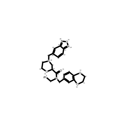 CC(C)CN(Cc1ccc2c(c1)OCCO2)C(=O)C1CN(Cc2ccc3nonc3c2)CCO1